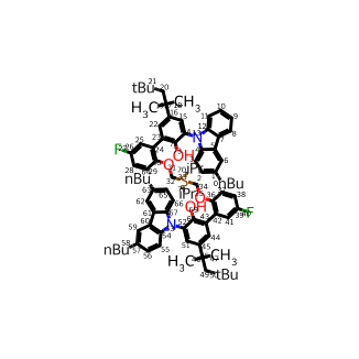 CCCCc1ccc2c(c1)c1ccccc1n2-c1cc(C(C)(C)CC(C)(C)C)cc(-c2cc(F)ccc2OCS(COc2ccc(F)cc2-c2cc(C(C)(C)CC(C)(C)C)cc(-n3c4ccc(CCCC)cc4c4cc(CCCC)ccc43)c2O)(C(C)C)C(C)C)c1O